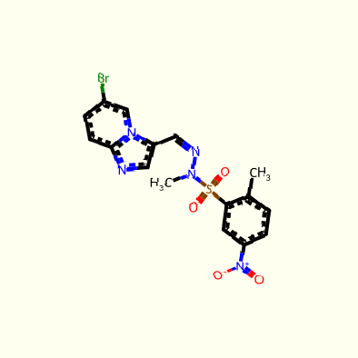 Cc1ccc([N+](=O)[O-])cc1S(=O)(=O)N(C)/N=C\c1cnc2ccc(Br)cn12